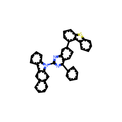 c1ccc(-c2nc(-n3c4ccccc4c4cc5ccccc5cc43)nc3cc(-c4cccc5sc6ccccc6c45)ccc23)cc1